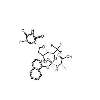 C[C@H](N[P@@](=O)(Oc1cccc2ccccc12)O[C@@H]([C@H]1O[C@@H](n2cc(F)c(=O)[nH]c2=O)C[C@@H]1O)C(F)(F)F)C(=O)O